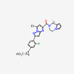 CCc1cc(C(=O)N2CCn3cccc3[C@H]2C)nc2cc(-c3ccc(C4C[C@@H]4C(=O)O)cc3F)nn12